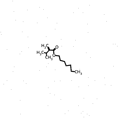 C=C(C(=O)OCCCCCCC)C(C)C